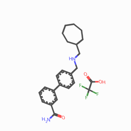 NC(=O)c1cccc(-c2ccc(CNCC3CCCCCC3)cc2)c1.O=C(O)C(F)(F)F